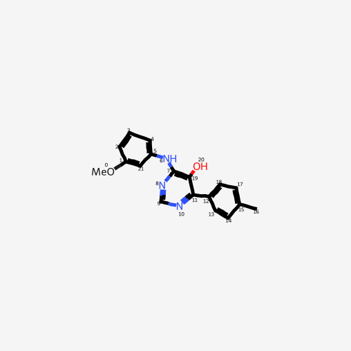 COc1cccc(Nc2ncnc(-c3ccc(C)cc3)c2O)c1